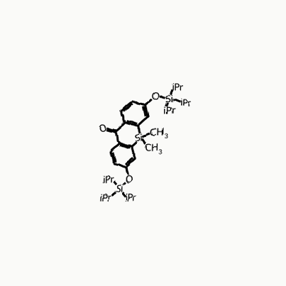 CC(C)[Si](Oc1ccc2c(c1)[Si](C)(C)c1cc(O[Si](C(C)C)(C(C)C)C(C)C)ccc1C2=O)(C(C)C)C(C)C